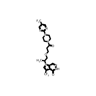 CC(COCCC(=O)N1CCN(c2ncc(C(F)(F)F)cn2)CC1)n1cc(C(F)(F)F)c2c(=O)[nH]ncc21